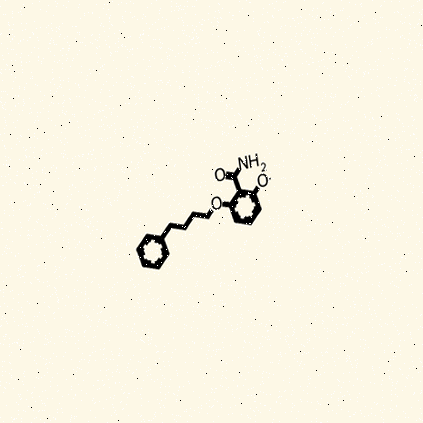 NC(=O)c1c([O])cccc1OCCCCc1ccccc1